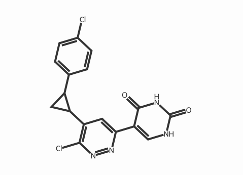 O=c1[nH]cc(-c2cc(C3CC3c3ccc(Cl)cc3)c(Cl)nn2)c(=O)[nH]1